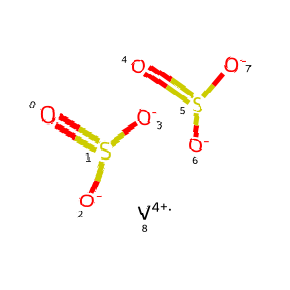 O=S([O-])[O-].O=S([O-])[O-].[V+4]